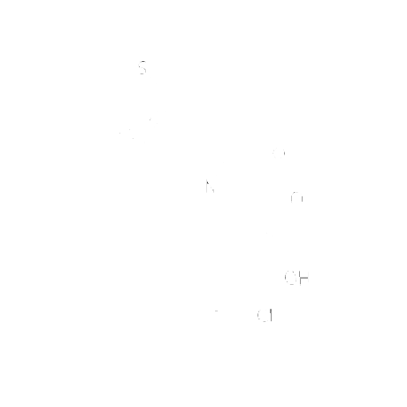 O=C(O)[C@H](c1ccccc1Cl)N1Cc2ccsc2CC1=O